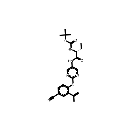 C=C(C)c1cc(C#N)ccc1Oc1ncc(NC(=O)[C@@H](CC)NC(=O)OC(C)(C)C)cn1